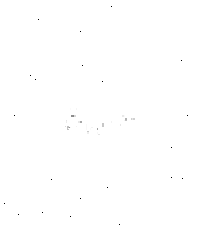 Cc1ccc(Cl)cc1-c1cn(-c2ncnc3c2ccn3COCC[Si](C)(C)C)cc1C#N